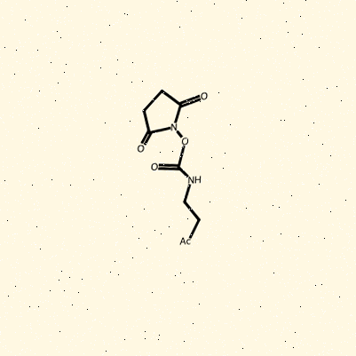 CC(=O)CCNC(=O)ON1C(=O)CCC1=O